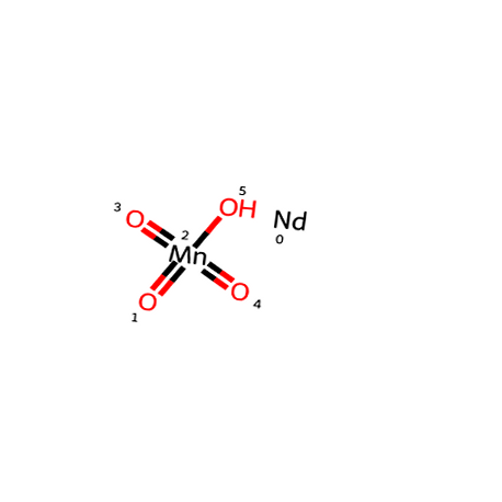 [Nd].[O]=[Mn](=[O])(=[O])[OH]